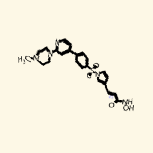 CN1CCN(c2cc(-c3ccc(S(=O)(=O)n4ccc(/C=C/C(=O)NO)c4)cc3)ccn2)CC1